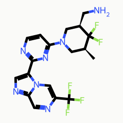 C[C@H]1CN(c2ccnc(-c3cnc4cnc(C(F)(F)F)cn34)n2)C[C@@H](CN)C1(F)F